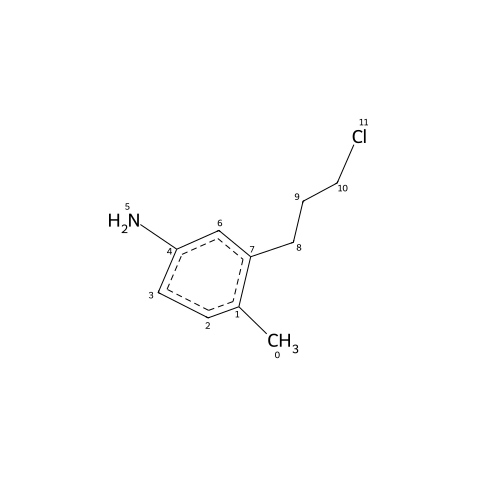 Cc1ccc(N)cc1CCCCl